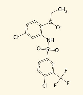 CC[S+]([O-])c1ccc(Cl)cc1NS(=O)(=O)c1ccc(Cl)c(C(F)(F)F)c1